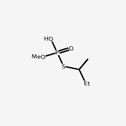 CCC(C)SP(=O)(O)OC